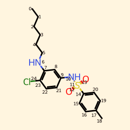 CCCCCCNc1cc(NS(=O)(=O)c2ccc(C)cc2)ccc1Cl